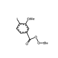 COc1cc(C(=O)OOC(C)(C)C)ccc1I